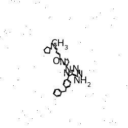 CN(C/C=C/C(=O)N1CC[C@@H](n2nc(-c3ccc(Cc4ccccc4)cc3)c3c(N)ncnc32)C1)C1CCCC1